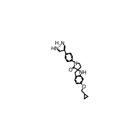 N=C/C(=C\N)c1ccc(N2CCC3(Cc4ccc(OCC5CC5)cc4N3)C2=O)cc1